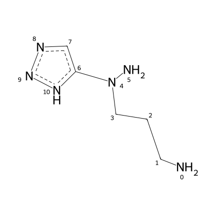 NCCCN(N)c1cnn[nH]1